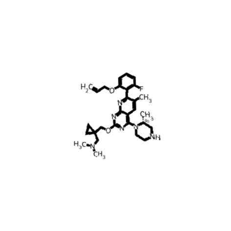 C=CCOc1cccc(F)c1-c1nc2nc(OCC3(CN(C)C)CC3)nc(N3CCNC[C@H]3C)c2cc1C